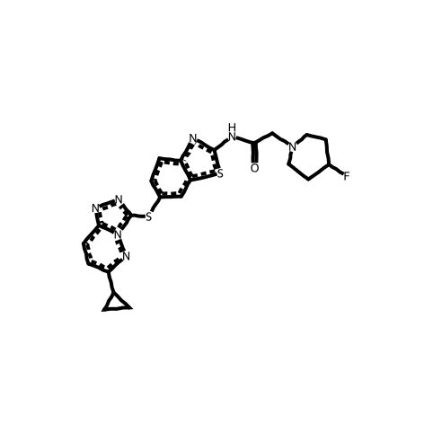 O=C(CN1CCC(F)CC1)Nc1nc2ccc(Sc3nnc4ccc(C5CC5)nn34)cc2s1